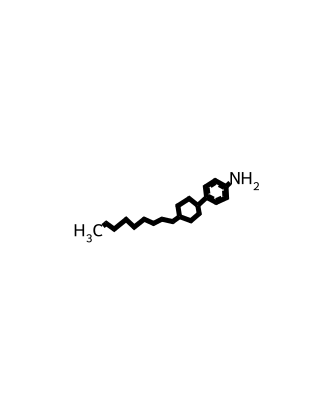 CCCCCCCCCC1CCC(c2ccc(N)cc2)CC1